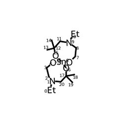 CCN1CC[O][Sn]2([O]CCN(CC)CC(C)(C)[O]2)[O]C(C)(C)C1